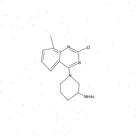 CC(=O)NC1CCCN(c2nc(Cl)nc3c(C)cccc23)C1